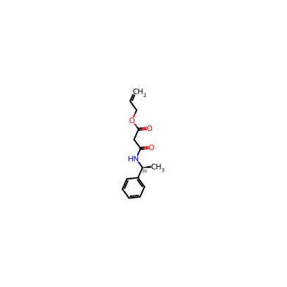 C=CCOC(=O)CC(=O)N[C@@H](C)c1ccccc1